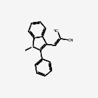 Cn1c(-c2ccccc2)c(C=C(C#N)C#N)c2ccccc21